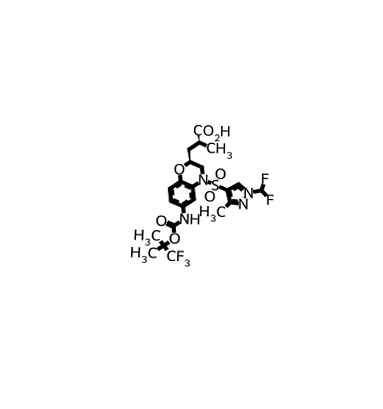 Cc1nn(C(F)F)cc1S(=O)(=O)N1C[C@H](C[C@@H](C)C(=O)O)Oc2ccc(NC(=O)OC(C)(C)C(F)(F)F)cc21